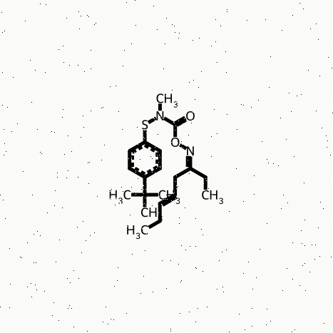 CCC=CCC(CC)=NOC(=O)N(C)Sc1ccc(C(C)(C)C)cc1